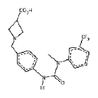 CCN(C(=O)N(C)c1cccc(C(F)(F)F)c1)c1ccc(CN2CC(C(=O)O)C2)cc1